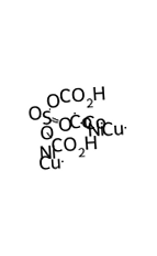 O=C(O)OS(=O)(=O)OC(=O)O.[Co].[Co].[Cu].[Cu].[Ni].[Ni]